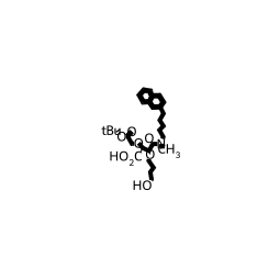 CN(CCCCCc1ccc2ccccc2c1)C(=O)[C@H](OCCCCO)[C@@H](OCC(=O)OC(C)(C)C)C(=O)O